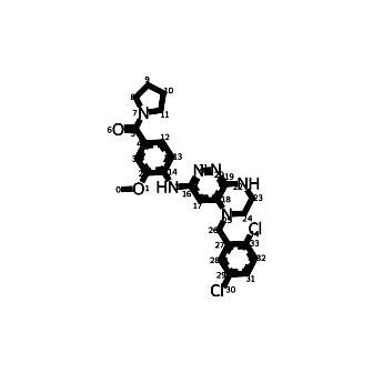 COc1cc(C(=O)N2CCCC2)ccc1Nc1cc2c(nn1)NCCN2Cc1cc(Cl)ccc1Cl